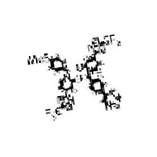 CSc1ccc(Cn2ccc(-c3noc(C(F)(F)F)n3)cc2=O)cc1.O=c1cc(-c2noc(C(F)(F)F)n2)ccn1Cc1ccc(-c2cncnc2)cc1